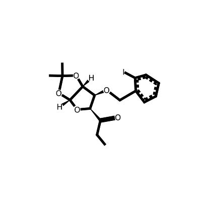 CCC(=O)[C@H]1O[C@@H]2OC(C)(C)O[C@@H]2[C@H]1OCc1ccccc1I